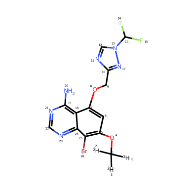 [2H]C([2H])([2H])Oc1cc(OCc2ncn(C(F)F)n2)c2c(N)ncnc2c1Br